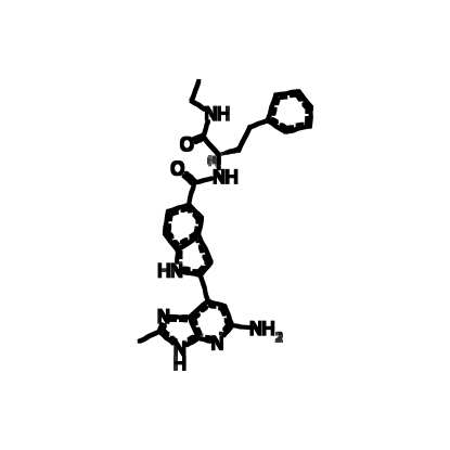 CCNC(=O)[C@@H](CCc1ccccc1)NC(=O)c1ccc2[nH]c(-c3cc(N)nc4[nH]c(C)nc34)cc2c1